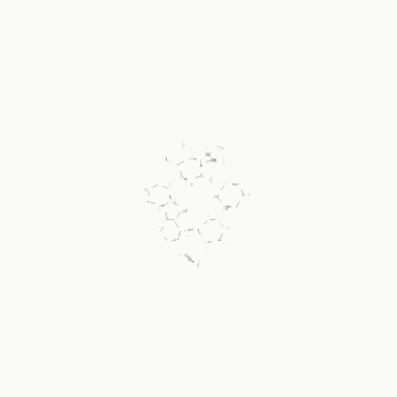 Bc1nc(-c2cccc3c2oc2c(-c4cccc(-c5ccccc5)c4)c(C#N)ccc23)c(B)c(F)c1C(C)(C)C